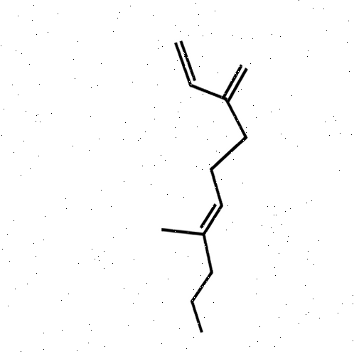 C=CC(=C)CC/C=C(\C)CCC